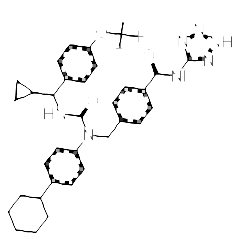 O=C(Nc1nn[nH]n1)c1ccc(CN(C(=O)NC(c2ccc(OC(F)(F)F)cc2)C2CC2)c2ccc(C3CCCCC3)cc2)cc1